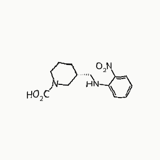 O=C(O)N1CCC[C@H](CNc2ccccc2[N+](=O)[O-])C1